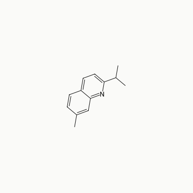 Cc1ccc2ccc(C(C)C)nc2c1